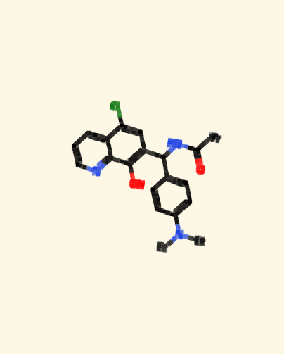 CCN(CC)c1ccc(C(NC(=O)C(C)C)c2cc(Cl)c3cccnc3c2O)cc1